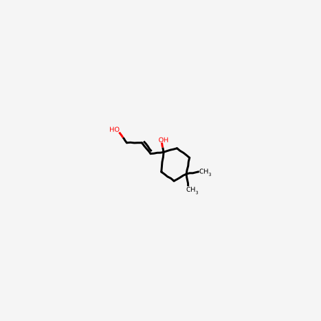 CC1(C)CCC(O)(C=CCO)CC1